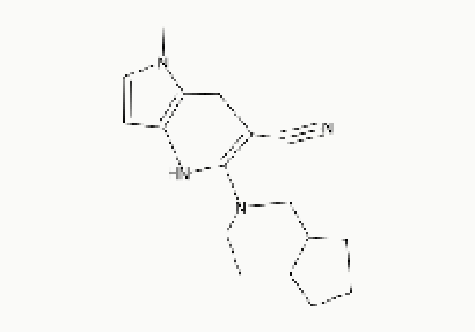 CCN(CC1CCCC1)C1=C(C#N)Cc2c(ccn2C)N1